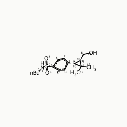 CCCCNS(=O)(=O)c1ccc([C@@H]2[C@@H](CO)C2(C)C)cc1